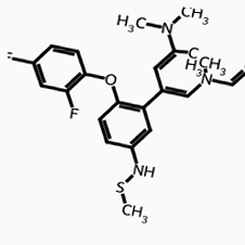 CSNc1ccc(Oc2ccc(F)cc2F)c(C(=C/N(C)C=O)/C=C(\C)N(C)C)c1